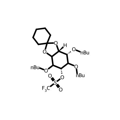 CCCCOC1C2OC3(CCCCC3)O[C@@H]2[C@H](OCCCC)C(OCCCC)[C@@H]1OS(=O)(=O)C(F)(F)F